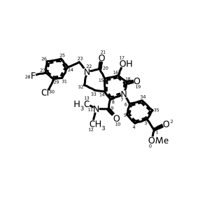 COC(=O)c1ccc(-n2c(C(=O)N(C)C)c3c(c(O)c2=O)C(=O)N(Cc2ccc(F)c(Cl)c2)CC3)cc1